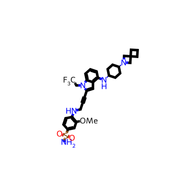 COc1cc(S(N)(=O)=O)ccc1NCC#Cc1cc2c(N[C@H]3CC[C@@H](N4CC5(CCC5)C4)CC3)cccc2n1CC(F)(F)F